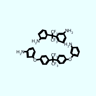 Nc1cccc(C(c2cccc(N)c2)(C(F)(F)F)C(F)(F)F)c1.Nc1cccc(Oc2ccc(C(c3ccc(Oc4cccc(N)c4)cc3)(C(F)(F)F)C(F)(F)F)cc2)c1